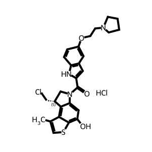 Cc1csc2c(O)cc3c(c12)[C@H](CCl)CN3C(=O)c1cc2cc(OCCN3CCCC3)ccc2[nH]1.Cl